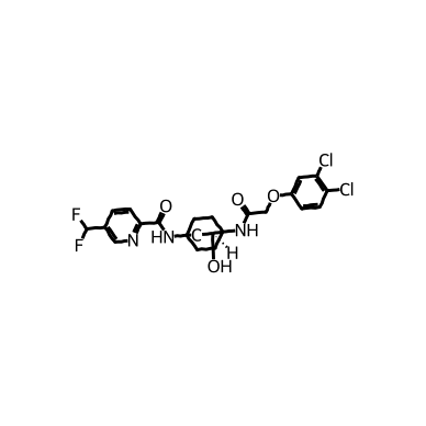 O=C(COc1ccc(Cl)c(Cl)c1)NC12CCC(NC(=O)c3ccc(C(F)F)cn3)(CC1)C[C@@H]2O